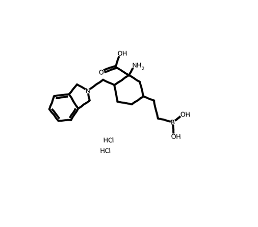 Cl.Cl.NC1(C(=O)O)CC(CCB(O)O)CCC1CN1Cc2ccccc2C1